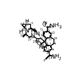 C=C(N)c1ccc2c(c1)CCc1cc(C(N)=O)ccc1C2(C[C@@H](C)NCC(=C)N1C(C#N)C[C@@H]2C[C@@H]21)C(N)=O